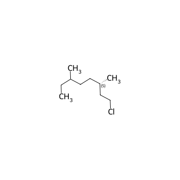 CCC(C)CC[C@H](C)CCCl